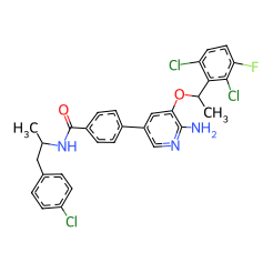 CC(Cc1ccc(Cl)cc1)NC(=O)c1ccc(-c2cnc(N)c(OC(C)c3c(Cl)ccc(F)c3Cl)c2)cc1